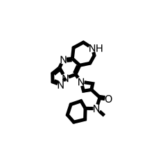 CN(C(=O)C1CN(c2c3c(nc4ccnn24)CCNCC3)C1)C1CCCCC1